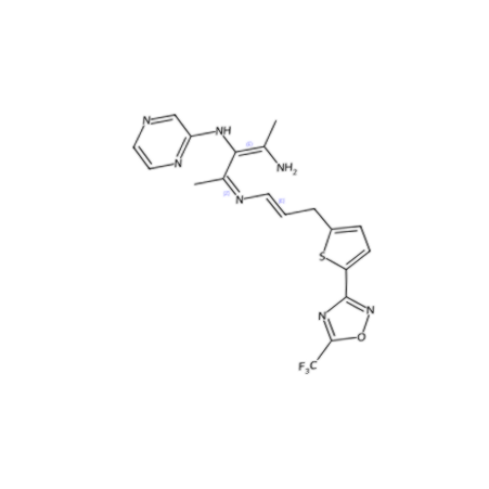 CC(=N/C=C/Cc1ccc(-c2noc(C(F)(F)F)n2)s1)/C(Nc1cnccn1)=C(/C)N